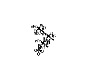 CCCC[N+](C)(CC)C(CC)(CC)CCC.CCCC[N+](C)(CC)C(CC)(CC)CCC.CCCC[N+](C)(CC)C(CC)(CC)CCC.O=P([O-])([O-])[O-]